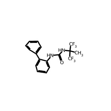 CC(NC(=O)Nc1ccccc1-c1ccccc1)(C(F)(F)F)C(F)(F)F